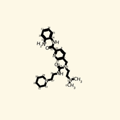 CN(C)CCN(Cc1ccc(C(=O)Nc2ccccc2N)nc1)C(=O)NCCN1CCCCC1